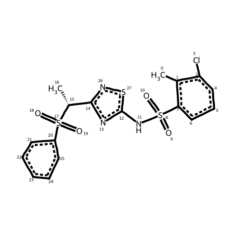 Cc1c(Cl)cccc1S(=O)(=O)Nc1nc([C@@H](C)S(=O)(=O)c2ccccc2)ns1